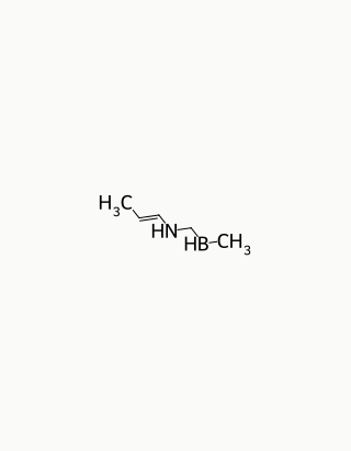 CBCNC=CC